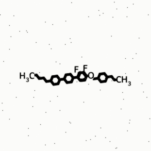 CCCCCC1CCC(C2CCC(c3ccc(OCC4CCC(CCC)CC4)c(F)c3F)CC2)CC1